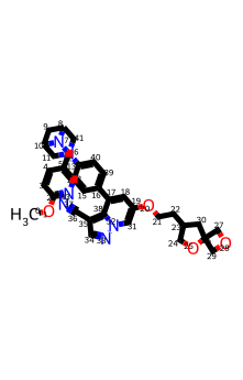 COc1ccc(CN2C3CC2CN(c2ccc(-c4cc(OCCC5COC6(COC6)C5)cn5ncc(C#N)c45)cc2)C3)cn1